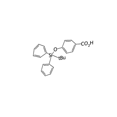 CC(C)(C)[Si](Oc1ccc(C(=O)O)cc1)(c1ccccc1)c1ccccc1